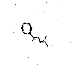 C[C@H](CCN(C)C)c1ccccc1